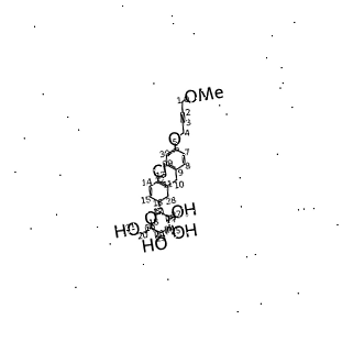 COCC#CCOc1ccc(CC2=C(Cl)C=CC([C@@H]3O[C@H](CO)[C@@H](O)[C@H](O)[C@H]3O)C2)cc1